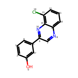 Oc1cccc(-c2cnc3cccc(Cl)c3n2)c1